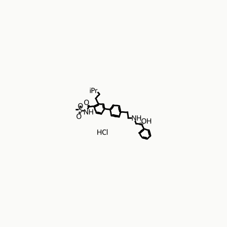 CC(C)CCc1cc(-c2ccc(CCNC[C@@H](O)c3ccccc3)cc2)ccc1C(=O)NS(C)(=O)=O.Cl